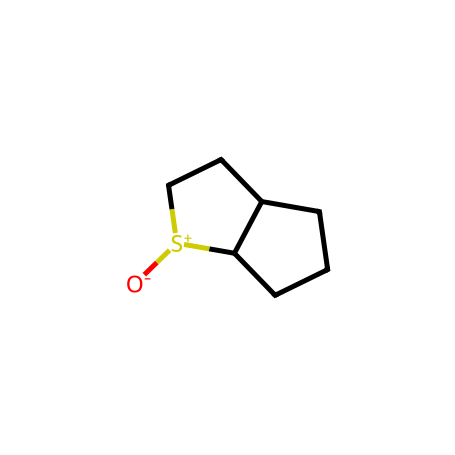 [O-][S+]1CCC2CCCC21